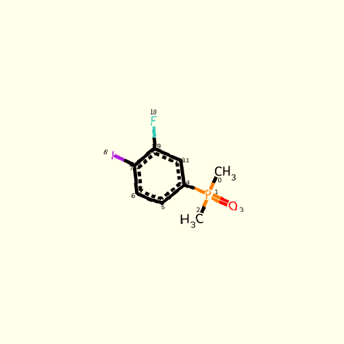 CP(C)(=O)c1ccc(I)c(F)c1